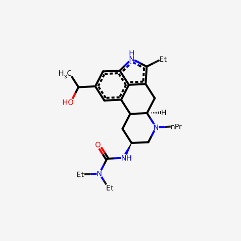 CCCN1C[C@@H](NC(=O)N(CC)CC)CC2c3cc(C(C)O)cc4[nH]c(CC)c(c34)C[C@H]21